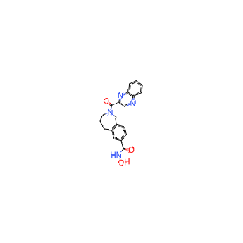 O=C(NO)c1ccc2c(c1)CCCN(C(=O)c1cnc3ccccc3n1)C2